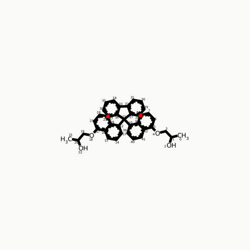 CC(O)COc1cccc2c(C3(c4cccc5c(OCC(C)O)cccc45)c4ccccc4-c4ccccc43)cccc12